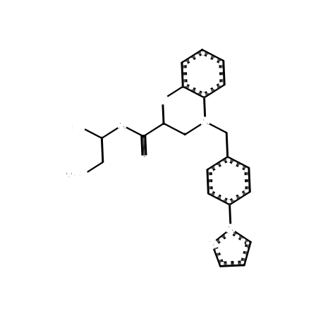 COCC(C)NC(=O)C1CN(Cc2ccc(-n3cccn3)cc2)c2ccccc2O1